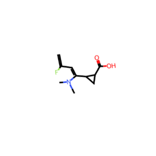 C=C(F)/C=C(/C1CC1C(=O)O)N(C)C